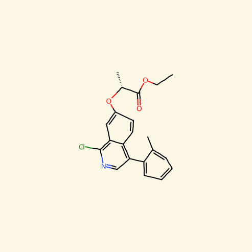 CCOC(=O)[C@@H](C)Oc1ccc2c(-c3ccccc3C)cnc(Cl)c2c1